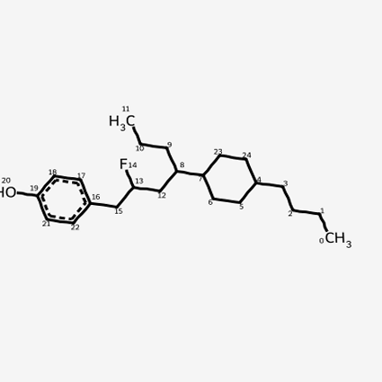 CCCCC1CCC(C(CCC)CC(F)Cc2ccc(O)cc2)CC1